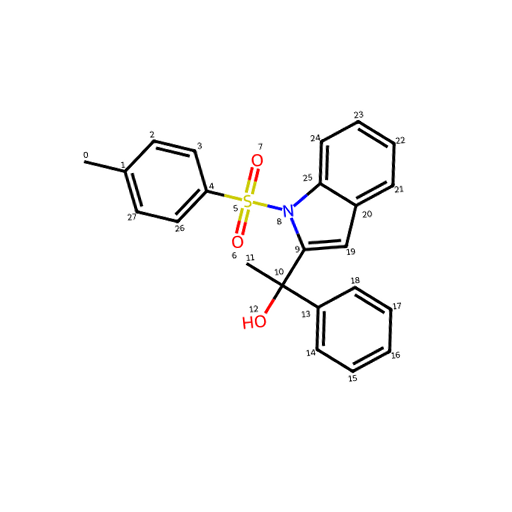 Cc1ccc(S(=O)(=O)n2c(C(C)(O)c3ccccc3)cc3ccccc32)cc1